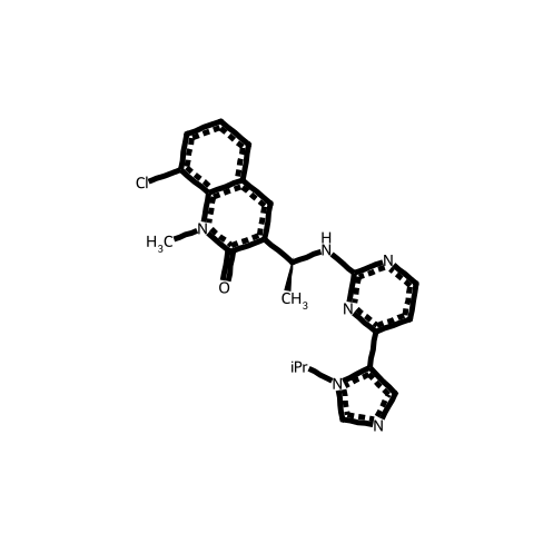 CC(C)n1cncc1-c1ccnc(N[C@@H](C)c2cc3cccc(Cl)c3n(C)c2=O)n1